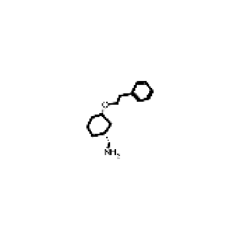 NC[C@@H]1CCC[C@H](OCCc2ccccc2)C1